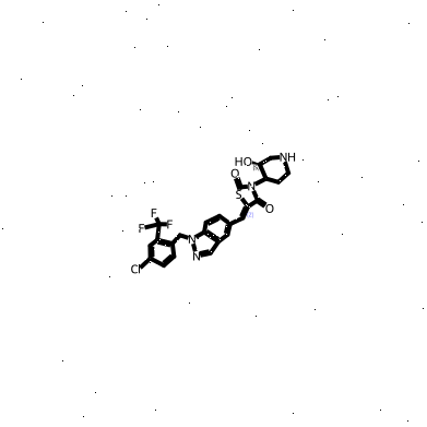 O=C1S/C(=C\c2ccc3c(cnn3Cc3ccc(Cl)cc3C(F)(F)F)c2)C(=O)N1C1CCNC[C@@H]1O